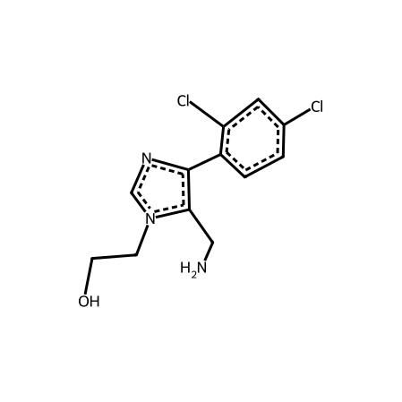 NCc1c(-c2ccc(Cl)cc2Cl)ncn1CCO